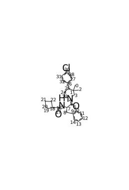 CC1(C)CN(C(=O)[C@@H](Cc2ccccc2)NC(=O)C2CCCC2)CCC1c1ccc(Cl)cc1